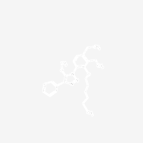 CCCCCCOc1c(-n2nnc(-c3ccccc3)c2OC)ccc(CC)c1CC